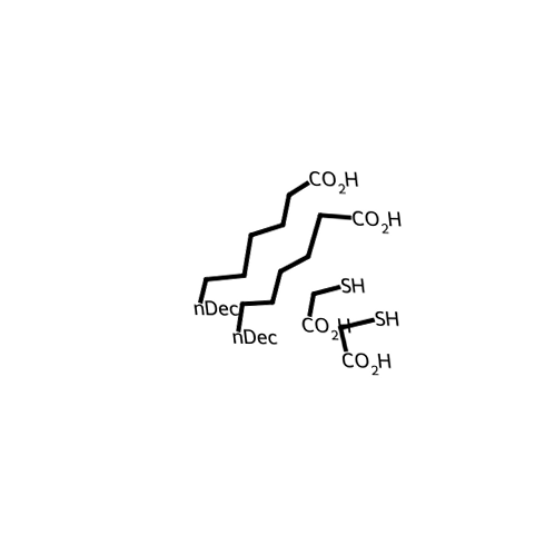 CCCCCCCCCCCCCCCC(=O)O.CCCCCCCCCCCCCCCC(=O)O.O=C(O)CS.O=C(O)CS